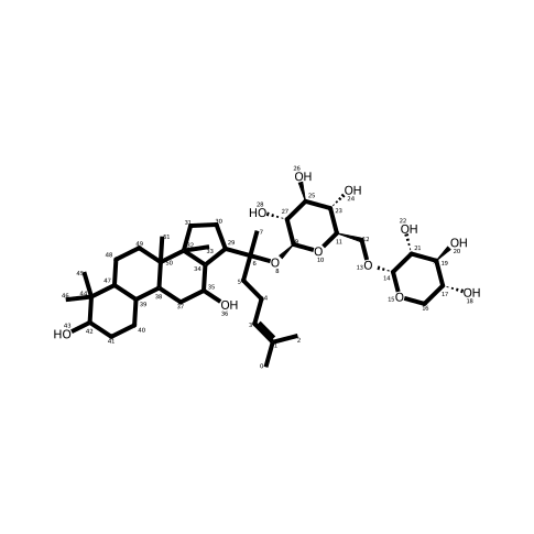 CC(C)=CCCC(C)(O[C@@H]1O[C@H](CO[C@H]2OC[C@@H](O)[C@H](O)[C@H]2O)[C@@H](O)[C@H](O)[C@H]1O)C1CCC2(C)C1C(O)CC1C3CCC(O)C(C)(C)C3CCC12C